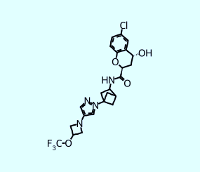 O=C(NC1CC2(n3cc(N4CC(OC(F)(F)F)C4)cn3)CC1C2)[C@@H]1C[C@@H](O)c2cc(Cl)ccc2O1